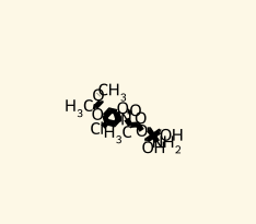 COCC(C)Oc1cc2oc(=O)n(C(C)C(=O)OCC(N)(CO)CO)c2cc1Cl